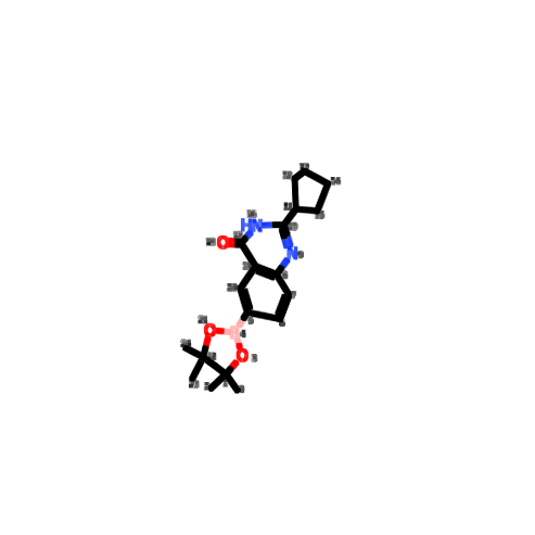 CC1(C)OB(c2ccc3nc(C4CCCC4)[nH]c(=O)c3c2)OC1(C)C